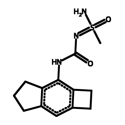 CS(N)(=O)=NC(=O)Nc1c2c(cc3c1CC3)CCC2